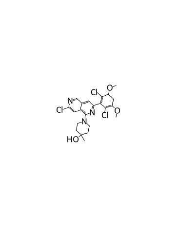 COC1=C(Cl)C(c2cc3cnc(Cl)cc3c(N3CCC(C)(O)CC3)n2)=C(Cl)C(OC)C1